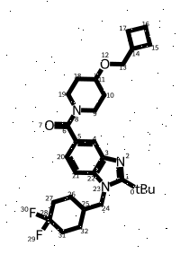 CC(C)(C)c1nc2cc(C(=O)N3CCC(OCC4CCC4)CC3)ccc2n1CC1CCC(F)(F)CC1